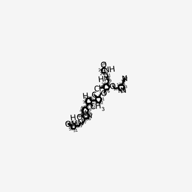 Cc1c(COc2cc(OCc3cncc(C#N)c3)c(CNC[C@@H]3CCC(=O)N3)cc2Cl)cccc1-c1cccc(-c2ccn3c(=O)c(CNCC4CCC(=O)N4)cnc3c2)c1C